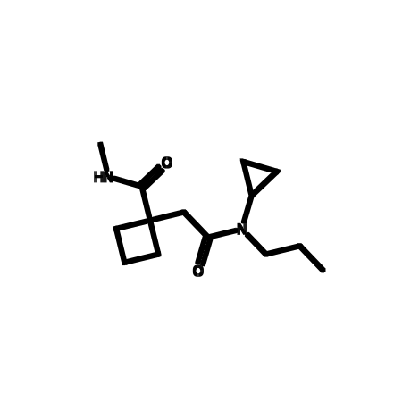 CCCN(C(=O)CC1(C(=O)NC)CCC1)C1CC1